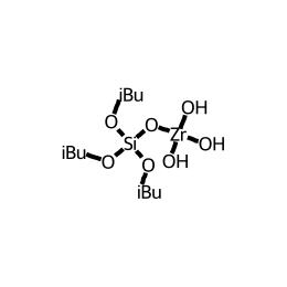 CCC(C)O[Si](OC(C)CC)(OC(C)CC)[O][Zr]([OH])([OH])[OH]